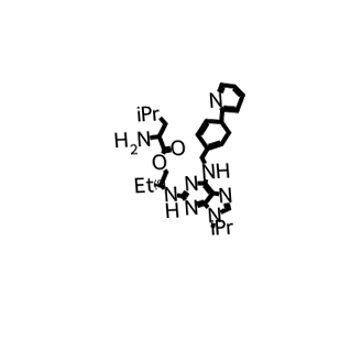 CC[C@@H](COC(=O)C(N)CC(C)C)Nc1nc(NCC2=CCC(c3ccccn3)C=C2)c2ncn(C(C)C)c2n1